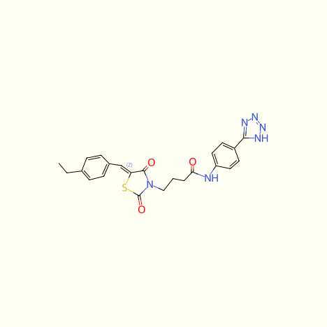 CCc1ccc(/C=C2\SC(=O)N(CCCC(=O)Nc3ccc(-c4nnn[nH]4)cc3)C2=O)cc1